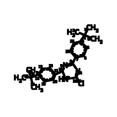 CC(C)(C)c1ccc(C2=NC(c3ccc(C(C)(C)C)cc3)NC(Cl)=N2)cc1